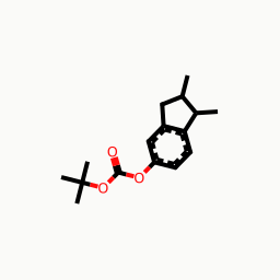 CC1Cc2cc(OC(=O)OC(C)(C)C)ccc2C1C